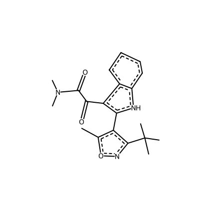 Cc1onc(C(C)(C)C)c1-c1[nH]c2ccccc2c1C(=O)C(=O)N(C)C